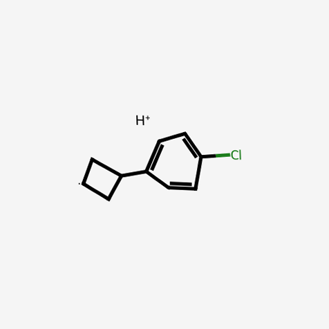 Clc1ccc(C2C[CH]C2)cc1.[H+]